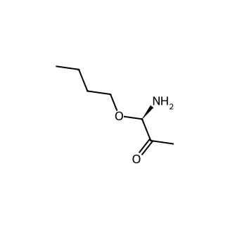 CCCCO[C@@H](N)C(C)=O